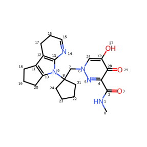 CNC(=O)c1nn(CC2(n3c4c(c5c3N=CCC5)CCC4)CCCC2)cc(O)c1=O